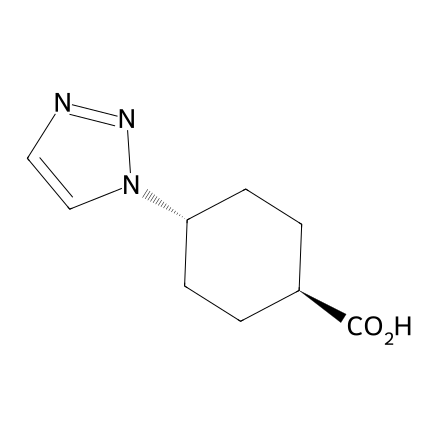 O=C(O)[C@H]1CC[C@H](n2ccnn2)CC1